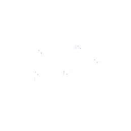 CC(NC(C)C1CNCCN1)C1CNCCN1